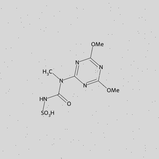 COc1nc(OC)nc(N(C)C(=O)NS(=O)(=O)O)n1